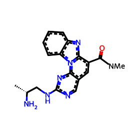 CNC(=O)c1cc2cnc(NC[C@@H](C)N)nc2n2c1nc1ccccc12